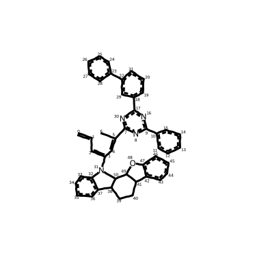 C=C/C=C(\C=C(/C)c1nc(-c2ccccc2)nc(-c2cccc(-c3ccccc3)c2)n1)N1c2ccccc2C2CCC3c4ccccc4OC3C21